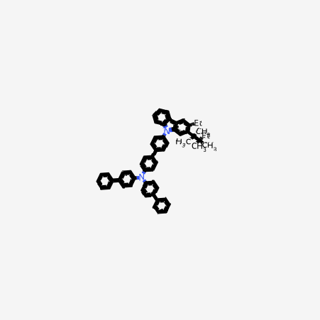 CCc1cc2c3ccccc3n(-c3ccc(-c4ccc(N(c5ccc(-c6ccccc6)cc5)c5ccc(-c6ccccc6)cc5)cc4)cc3)c2cc1C(C)(C)C(C)(C)CC